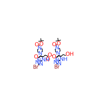 CC(C)(C)OC(=O)N1CCN(c2c(CCO)[nH]c3nc(Br)nn3c2=O)CC1.COC(=O)Cc1[nH]c2nc(Br)nn2c(=O)c1N1CCN(C(=O)OC(C)(C)C)CC1